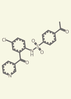 CC(=O)c1ccc(S(=O)(=O)Nc2ccc(Cl)cc2C(=O)c2cccnc2)cc1